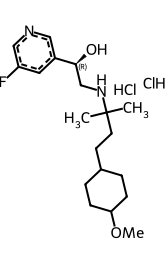 COC1CCC(CCC(C)(C)NC[C@H](O)c2cncc(F)c2)CC1.Cl.Cl